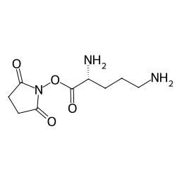 NCCC[C@@H](N)C(=O)ON1C(=O)CCC1=O